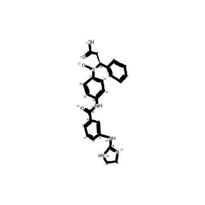 O=C(O)C[C@@H](c1ccccc1)[S+]([O-])c1ccc(NC(=O)c2cccc(NC3=NCCN3)c2)cc1